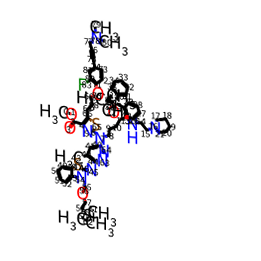 COC(=O)c1nc(N(CCCC(CNCCN2CCCCC2)O[Si](c2ccccc2)(c2ccccc2)C(C)(C)C)c2cc(C)c(/N=c3\sc4ccccc4n3COCC[Si](C)(C)C)nn2)sc1CCCOc1ccc(C#CCN(C)C)cc1F